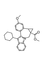 COC(=O)C12CC1c1cc(OC)ccc1-c1c(C3CCCCC3)c3ccccc3n1C2